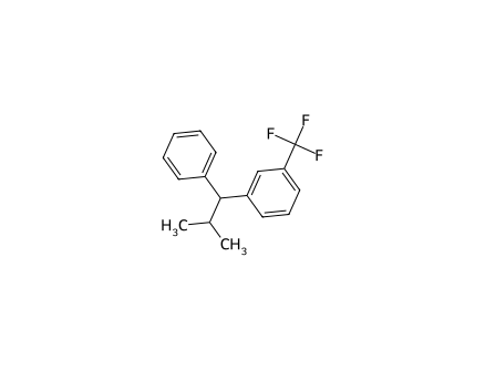 CC(C)C(c1ccccc1)c1cccc(C(F)(F)F)c1